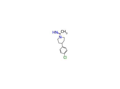 CC(=N)N1CCC(c2ccc(Cl)cc2)CC1